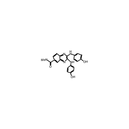 CNC(=O)c1ccc2nc(Nc3ccc(O)cc3)c(Nc3ccc(O)cc3)nc2c1